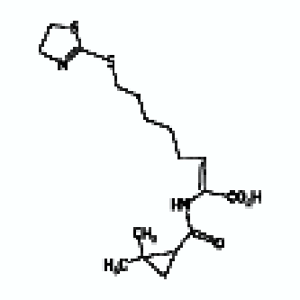 CC1(C)CC1C(=O)N/C(=C\CCCCCSC1=NCCS1)C(=O)O